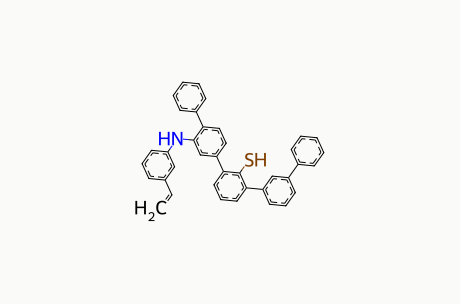 C=Cc1cccc(Nc2cc(-c3cccc(-c4cccc(-c5ccccc5)c4)c3S)ccc2-c2ccccc2)c1